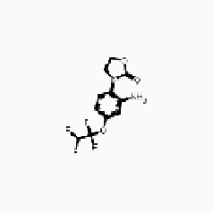 Nc1cc(OC(F)(F)C(F)F)ccc1N1CCOC1=O